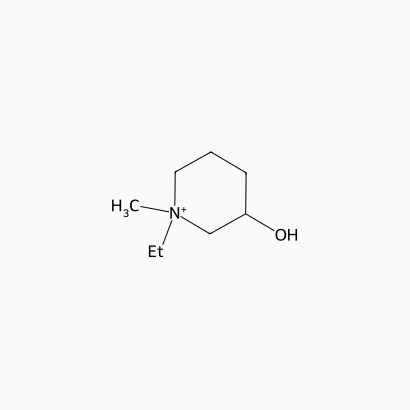 CC[N+]1(C)CCCC(O)C1